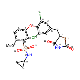 COc1ccc(Oc2c(Cl)cc(CC3SC(=O)NC3=O)cc2Cl)cc1S(=O)(=O)NC1CC1